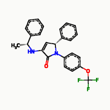 C[C@@H](NC1=C[C@H](c2ccccc2)N(c2ccc(OC(F)(F)F)cc2)C1=O)c1ccccc1